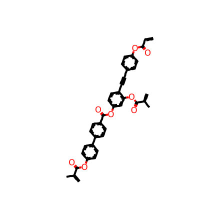 C=CC(=O)Oc1ccc(C#Cc2ccc(OC(=O)c3ccc(-c4ccc(OC(=O)C(=C)C)cc4)cc3)cc2OC(=O)C(=C)C)cc1